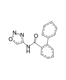 O=C(Nc1conn1)c1ccccc1-c1ccccc1